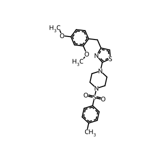 COc1ccc(Cc2csc(N3CCN(S(=O)(=O)c4ccc(C)cc4)CC3)n2)c(OC)c1